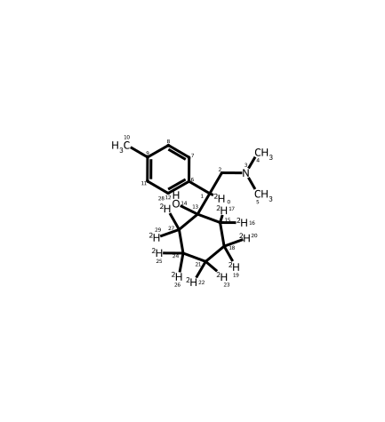 [2H]C(CN(C)C)(c1ccc(C)cc1)C1(O)C([2H])([2H])C([2H])([2H])C([2H])([2H])C([2H])([2H])C1([2H])[2H]